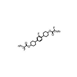 CCC[C@H](F)C(=O)OC1CCC(c2ccc(C3CCC(OC(=O)[C@@H](F)CCC)CC3)c(F)c2)CC1